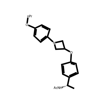 CCCOc1ccc(N2CC(Oc3ccc([C@H](C)NC(C)=O)cc3)C2)cc1